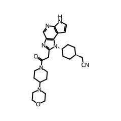 N#CC[C@H]1CC[C@H](n2c(CC(=O)N3CCC(N4CCOCC4)CC3)nc3cnc4[nH]ccc4c32)CC1